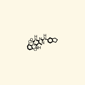 N=c1c2cnc(Nc3ccc4c(c3)CCC4)nc2[nH]c(=O)n1-c1c(Cl)cccc1Cl